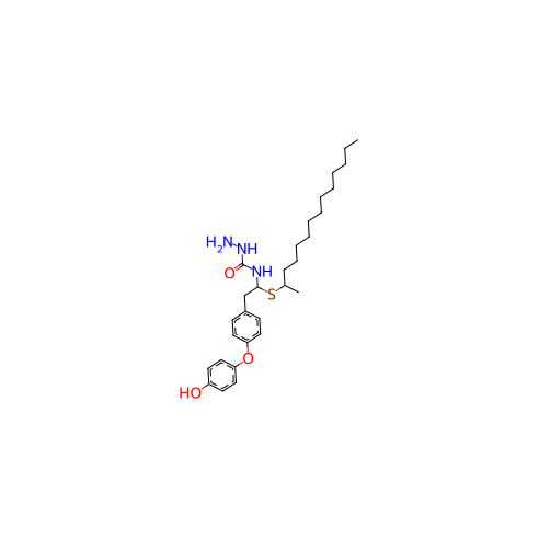 CCCCCCCCCCCCC(C)SC(Cc1ccc(Oc2ccc(O)cc2)cc1)NC(=O)NN